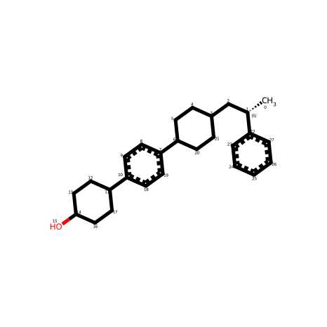 C[C@@H](CC1CCC(c2ccc(C3CCC(O)CC3)cc2)CC1)c1ccccc1